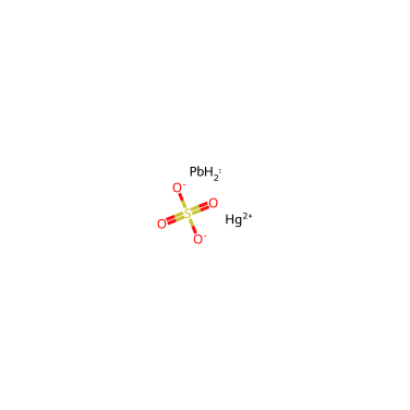 O=S(=O)([O-])[O-].[Hg+2].[PbH2]